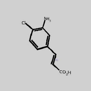 Nc1cc(/C=C/C(=O)O)ccc1Cl